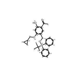 CC(=O)c1cc(CO[Si](c2ccccc2)(c2ccccc2)C(C)(C)C)c(OCC2CC2)cc1O